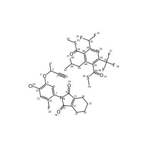 C#CC(C)Oc1cc(N2C(=O)C3=C(CCCC3)C2=O)c(F)cc1Cl.CSC(=O)c1c(C(F)F)nc(C(F)(F)F)c(C(=O)SC)c1CC(C)C